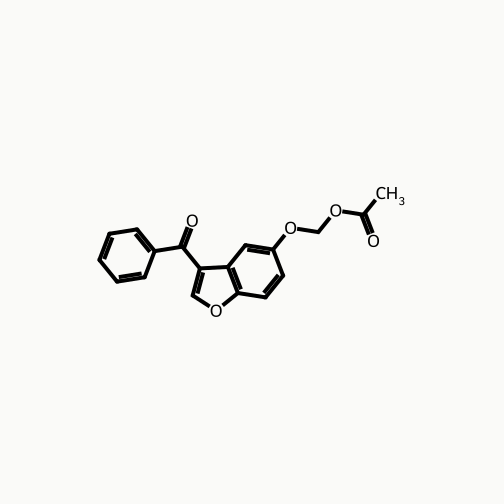 CC(=O)OCOc1ccc2occ(C(=O)c3ccccc3)c2c1